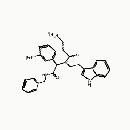 NCCC(=O)N(CCc1c[nH]c2ccccc12)C(C(=O)NCc1ccccc1)c1cccc(Br)c1